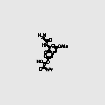 CCCC(=O)N(O)OC(=O)CN(CC(=O)OC)C(=O)CNC(=O)CN